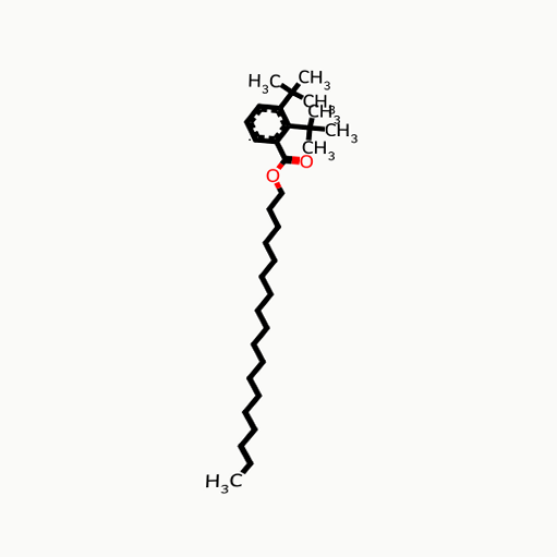 CCCCCCCCCCCCCCCCCCOC(=O)c1[c]ccc(C(C)(C)C)c1C(C)(C)C